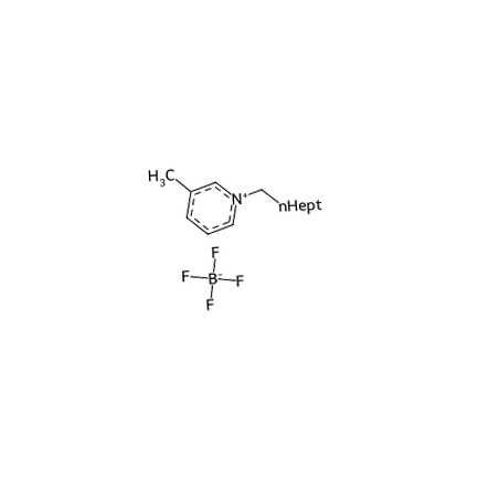 CCCCCCCC[n+]1cccc(C)c1.F[B-](F)(F)F